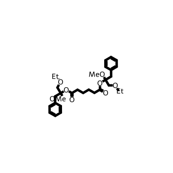 CCOCC(Cc1ccccc1)(OC)OC(=O)CCCCC(=O)OC(COCC)(Cc1ccccc1)OC